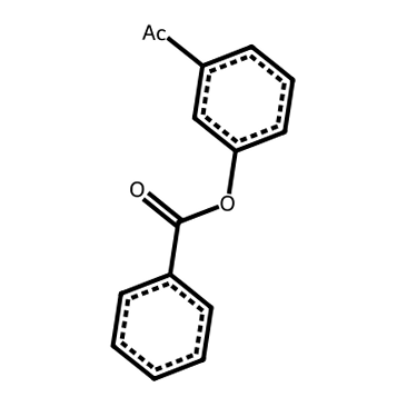 CC(=O)c1cccc(OC(=O)c2ccccc2)c1